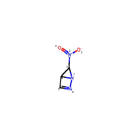 O=[N+]([O-])C1C2C=NN21